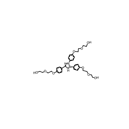 OCCOCCOc1ccc(C2=NN(c3ccc(OCCOCCO)cc3)N(c3ccc(OCCOCCO)cc3)N2)cc1